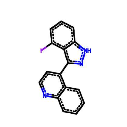 Ic1cccc2[nH]nc(-c3ccnc4ccccc34)c12